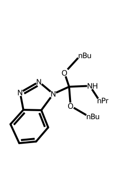 CCCCOC(NCCC)(OCCCC)n1nnc2ccccc21